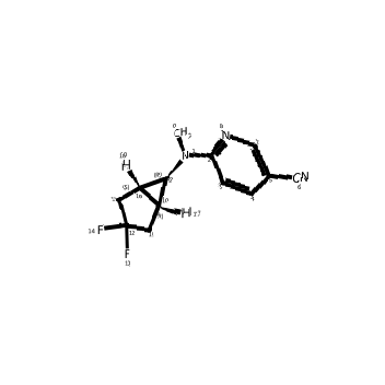 CN(c1ccc(C#N)cn1)[C@H]1[C@@H]2CC(F)(F)C[C@@H]21